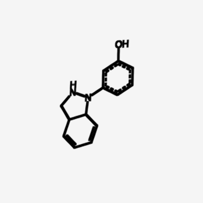 Oc1cccc(N2NCC3C=CC=CC32)c1